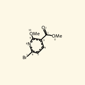 COC(=O)c1ccc(Br)nc1OC